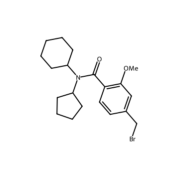 COc1cc(CBr)ccc1C(=O)N(C1CCCCC1)C1CCCC1